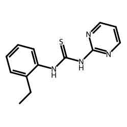 CCc1ccccc1NC(=S)Nc1ncccn1